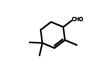 CC1=CC(C)(C)CCC1C=O